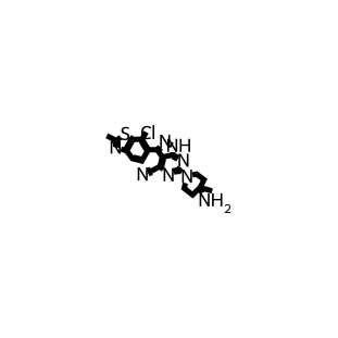 Cc1nc2ccc(-c3n[nH]c4nc(N5CCC(C)(N)CC5)nc(C#N)c34)c(Cl)c2s1